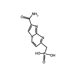 NC(=O)c1cn2ccc(CP(=O)(O)O)nc2n1